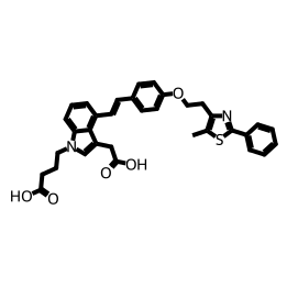 Cc1sc(-c2ccccc2)nc1CCOc1ccc(C=Cc2cccc3c2c(CC(=O)O)cn3CCCC(=O)O)cc1